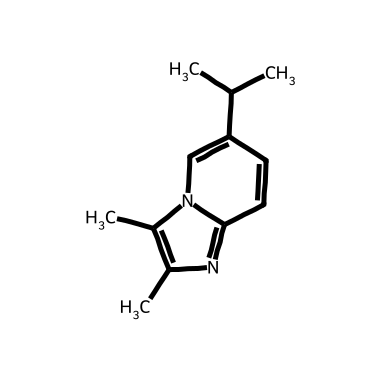 Cc1nc2ccc(C(C)C)cn2c1C